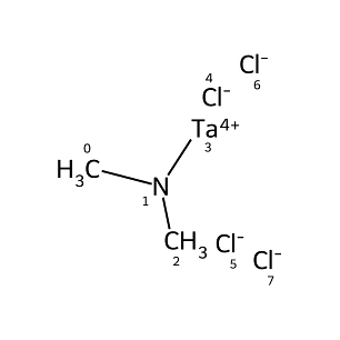 C[N](C)[Ta+4].[Cl-].[Cl-].[Cl-].[Cl-]